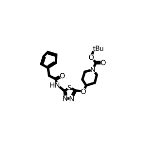 CC(C)(C)OC(=O)N1CCC(Oc2nnc(NC(=O)Cc3ccccc3)s2)CC1